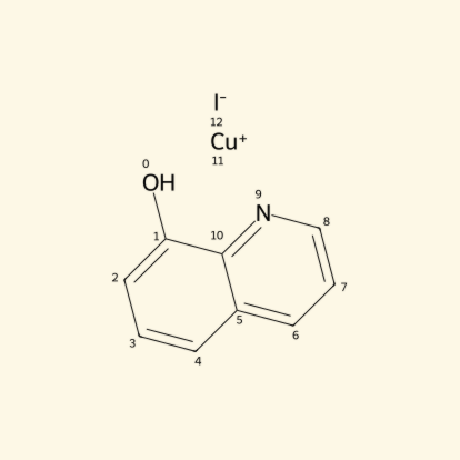 Oc1cccc2cccnc12.[Cu+].[I-]